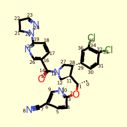 C[C@H](Oc1ccc(C#N)cn1)[C@H]1CN(C(=O)c2ccc(N3CCC=N3)nc2)C[C@@H]1c1ccc(Cl)c(Cl)c1